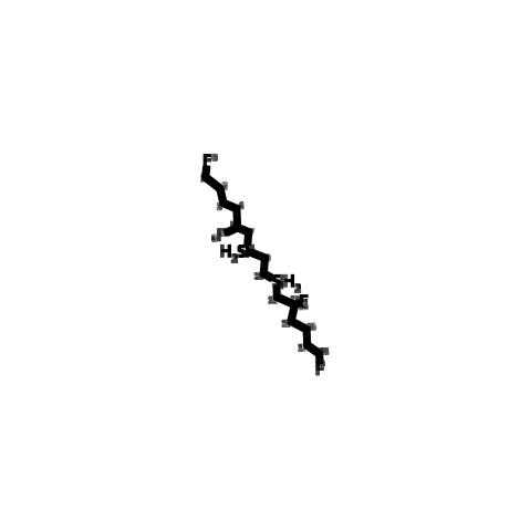 FCCCCC(F)C[SiH2]CC[SiH2]CC(F)CCCCF